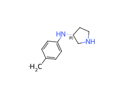 [CH2]c1ccc(N[C@@H]2CCNC2)cc1